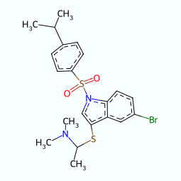 CC(C)c1ccc(S(=O)(=O)n2cc(SC(C)N(C)C)c3cc(Br)ccc32)cc1